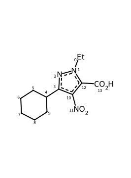 CCn1nc(C2CCCCC2)c([N+](=O)[O-])c1C(=O)O